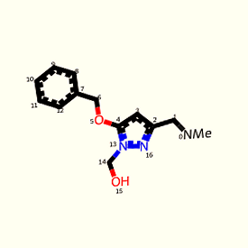 CNCc1cc(OCc2ccccc2)n(CO)n1